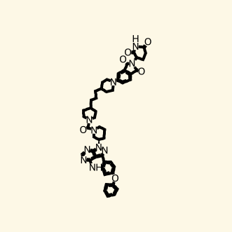 Nc1ncnc2c1c(-c1ccc(Oc3ccccc3)cc1)nn2[C@@H]1CCCN(C(=O)N2CCC(CCCC3CCN(c4ccc5c(c4)C(=O)N(C4CCC(=O)NC4=O)C5=O)CC3)CC2)C1